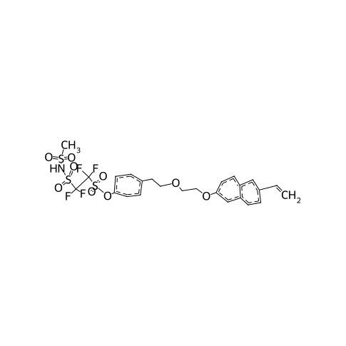 C=Cc1ccc2cc(OCCOCCc3ccc(OS(=O)(=O)C(F)(F)C(F)(F)S(=O)(=O)NS(C)(=O)=O)cc3)ccc2c1